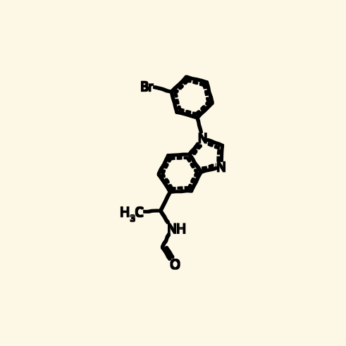 CC(NC=O)c1ccc2c(c1)ncn2-c1cccc(Br)c1